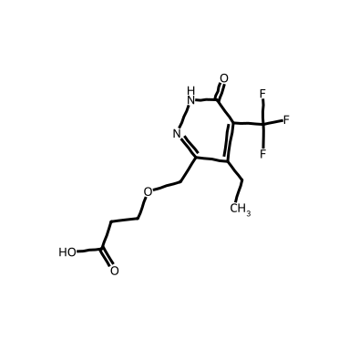 CCc1c(COCCC(=O)O)n[nH]c(=O)c1C(F)(F)F